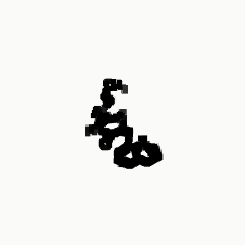 CCCN=C1NC(=O)C(=Cc2cccc3cccnc23)S1